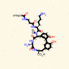 CCCCCCCC(=O)NCCC(=O)N[C@@H](CCCCN)C(=O)N(C)[C@@H]1C(=O)N[C@@H](N)C(=O)N[C@H](C(=O)O)Cc2ccc(O)c(c2)-c2cc1ccc2O